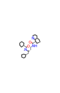 CN(C(=O)c1ccccc1)[C@H](CCNC(=O)c1cccc2cccnc12)Cc1ccccc1